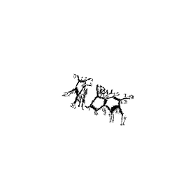 CC1=C(C)[C](C)([Hf][C]2=Cc3cc(C)c(C)cc3C2C(C)(C)C)C(C)=C1C